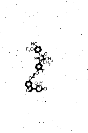 CC1(C)C(=O)N(c2ccc(C#N)c(C(F)(F)F)c2)C(=S)N1c1ccc(OCCOc2ccc3occ(C4CCC(=O)NC4=O)c3c2)c(F)c1